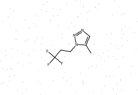 Cc1cnnn1CCC(F)(F)F